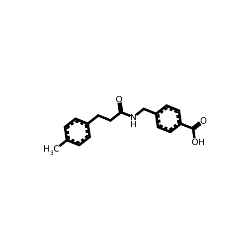 Cc1ccc(CCC(=O)NCc2ccc(C(=O)O)cc2)cc1